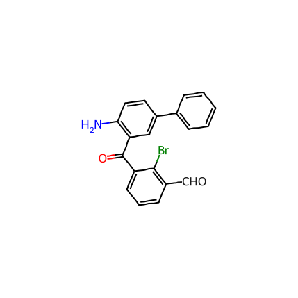 Nc1ccc(-c2ccccc2)cc1C(=O)c1cccc(C=O)c1Br